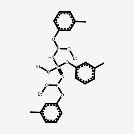 CCOP(N=P(NP(OCC)Oc1cccc(C)c1)(OCC)Oc1cccc(C)c1)Oc1cccc(C)c1